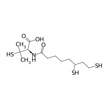 CC(C)(S)[C@H](NC(=O)CCCCC(S)CCS)C(=O)O